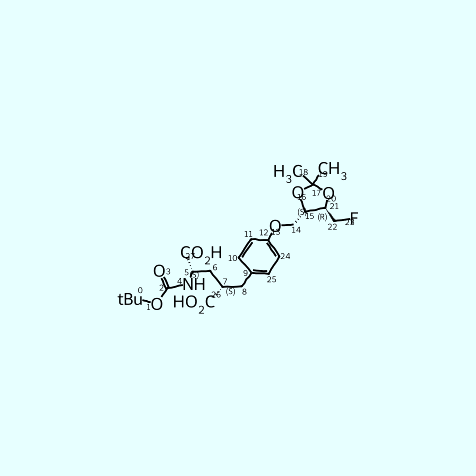 CC(C)(C)OC(=O)N[C@@H](C[C@H](Cc1ccc(OC[C@@H]2OC(C)(C)O[C@H]2CF)cc1)C(=O)O)C(=O)O